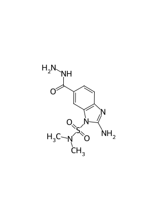 CN(C)S(=O)(=O)n1c(N)nc2ccc(C(=O)NN)cc21